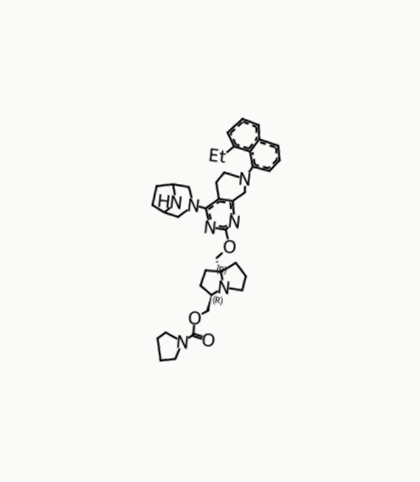 CCc1cccc2cccc(N3CCc4c(nc(OC[C@]56CCCN5[C@@H](COC(=O)N5CCCC5)CC6)nc4N4CC5CCC(C4)N5)C3)c12